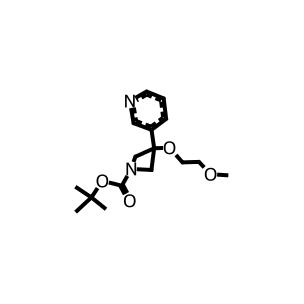 COCCOC1(c2cccnc2)CN(C(=O)OC(C)(C)C)C1